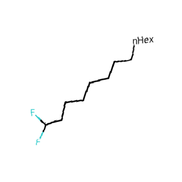 CCCCCCCCCCCCC[C](F)F